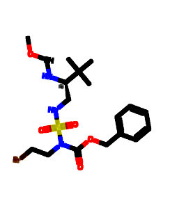 COBN[C@H](CNS(=O)(=O)N(CCBr)C(=O)OCc1ccccc1)C(C)(C)C